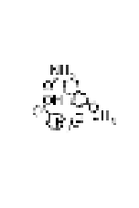 COc1cc2c(cc1OC)CCC(C(N)=O)=C2.O=C(O)c1ccccc1